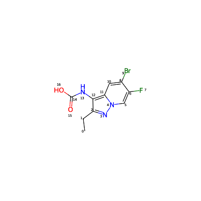 CCc1nn2cc(F)c(Br)cc2c1NC(=O)O